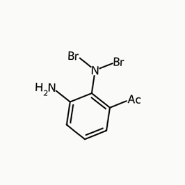 CC(=O)c1cccc(N)c1N(Br)Br